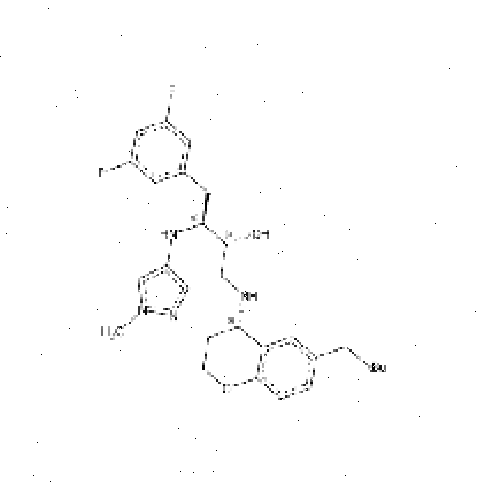 Cn1cc(N[C@@H](Cc2cc(F)cc(F)c2)[C@H](O)CN[C@H]2CCOc3ccc(CC(C)(C)C)cc32)cn1